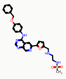 CS(=O)(=O)NCCNCc1ccc(-c2cc3c(Nc4ccc(OCc5ccccc5)cc4)ncnc3cn2)o1